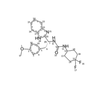 COc1ccc(C[C@@H](NC(=O)NC2CCC(F)(F)CC2)c2nc3ccccc3[nH]2)cc1